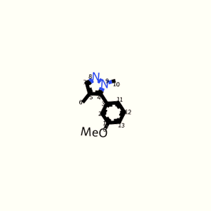 COc1[c]c(-c2c(C)cnn2C)ccc1